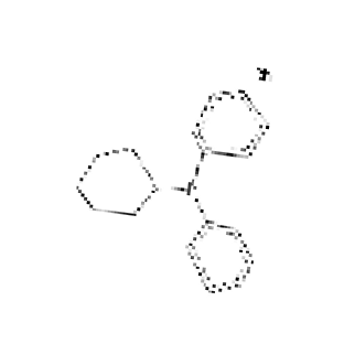 [Rh].c1ccc(P(c2ccccc2)C2CCCCC2)cc1